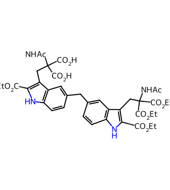 CCOC(=O)c1[nH]c2ccc(Cc3ccc4[nH]c(C(=O)OCC)c(CC(NC(C)=O)(C(=O)OCC)C(=O)OCC)c4c3)cc2c1CC(NC(C)=O)(C(=O)O)C(=O)O